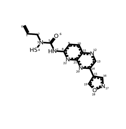 C=CCN(S)C(=O)Nc1ccc2ncc(-c3cnoc3)nc2n1